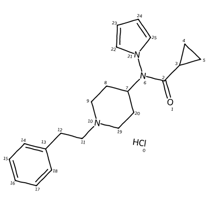 Cl.O=C(C1CC1)N(C1CCN(CCc2ccccc2)CC1)n1cccc1